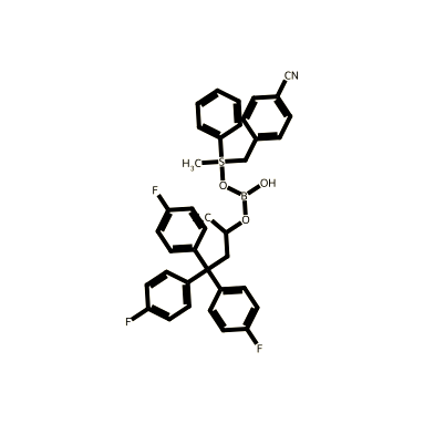 CC(CC(c1ccc(F)cc1)(c1ccc(F)cc1)c1ccc(F)cc1)OB(O)OS(C)(Cc1ccc(C#N)cc1)c1ccccc1